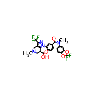 CN1Cc2c(C(F)(F)F)nn(-c3cccc(C(=O)N(C)c4ccc5c(c4)OC(F)(F)O5)c3)c2C(C(=O)O)C1